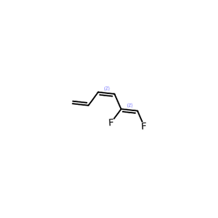 C=C/C=C\C(F)=C\F